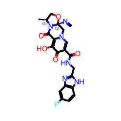 C=N[C@@]12Cn3cc(C(=O)NCc4nc5cc(F)ccc5[nH]4)c(=O)c(O)c3C(=O)N1[C@@H](C)CO2